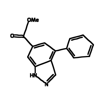 COC(=O)c1cc(-c2ccccc2)c2cn[nH]c2c1